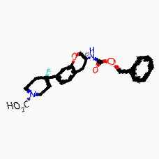 O=C(N[C@@H]1COc2cc(C3(F)CCN(C(=O)O)CC3)ccc2C1)OCc1ccccc1